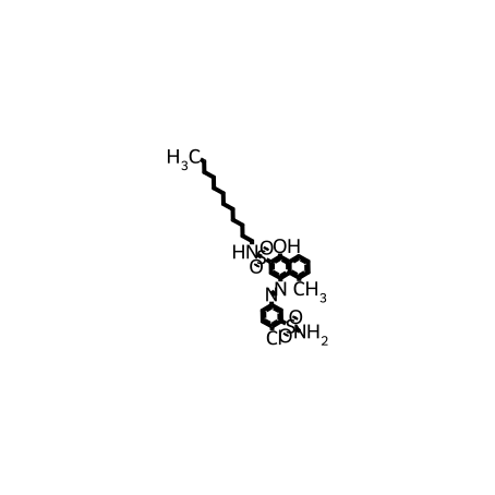 CCCCCCCCCCCCNS(=O)(=O)c1cc(N=Nc2ccc(Cl)c(S(N)(=O)=O)c2)c2c(C)cccc2c1O